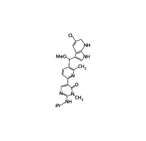 COC(c1ccc(-c2cnc(NC(C)C)n(C)c2=O)nc1C)c1c[nH]c2c1C=C(Cl)CN2